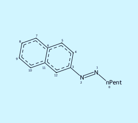 CCCCC/N=N/c1ccc2ccccc2c1